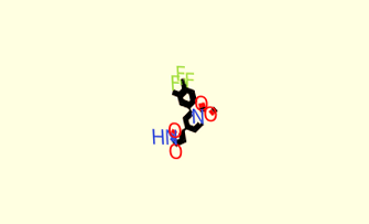 COC(=O)N1CC[C@@H](c2cc(=O)[nH]o2)C[C@H]1c1ccc(C(F)(F)F)c(C)c1